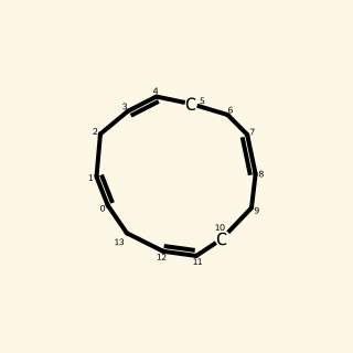 C1=CCC=CCCC=CCCC=CC1